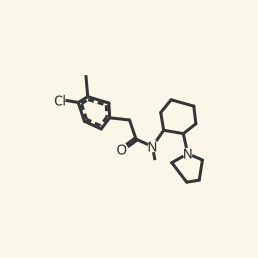 Cc1cc(CC(=O)N(C)C2CCCCC2N2CCCC2)ccc1Cl